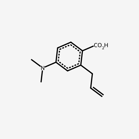 C=CCc1cc(N(C)C)ccc1C(=O)O